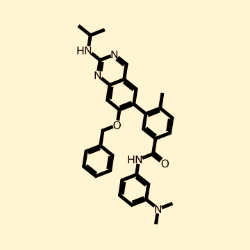 Cc1ccc(C(=O)Nc2cccc(N(C)C)c2)cc1-c1cc2cnc(NC(C)C)nc2cc1OCc1ccccc1